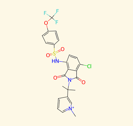 C[n+]1cccc(C(C)(C)N2C(=O)c3c(Cl)ccc(NS(=O)(=O)c4ccc(OC(F)(F)F)cc4)c3C2=O)c1